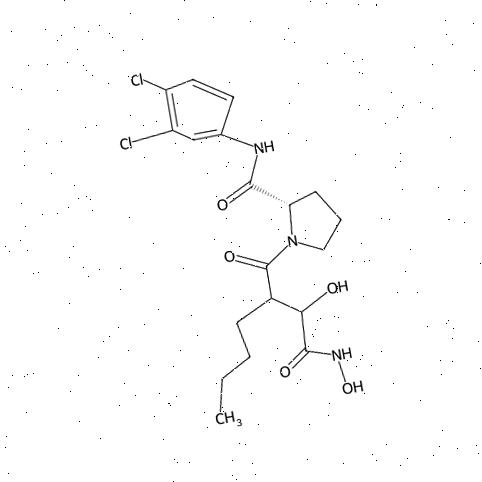 CCCCC(C(=O)N1CCC[C@H]1C(=O)Nc1ccc(Cl)c(Cl)c1)C(O)C(=O)NO